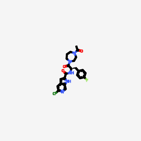 CC(=O)N1CCCN(C(=O)[C@H](Cc2ccc(F)cc2)NC(=O)c2cc3cc(Cl)ncc3[nH]2)CC1